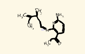 C=C(C/C=N\c1nc(N)ccc1C(C)=O)C(C)C